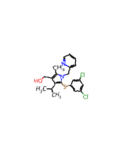 Cc1c(CO)c(C(C)C)c(Sc2cc(Cl)cc(Cl)c2)n1Cc1ccccn1